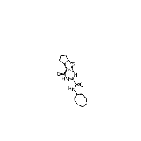 O=C(NC1CCCCCC1)c1nc2sc3c(c2c(=O)[nH]1)CCC3